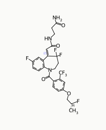 C[C@@H](F)COc1ccc(C(=O)N2CCC(F)(F)/C(=C\C(=O)NCCC(N)=O)c3cc(F)ccc32)c(C(F)(F)F)c1